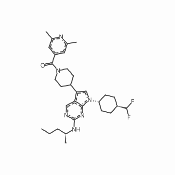 CCC[C@H](C)Nc1ncc2c(C3CCN(C(=O)c4cc(C)nc(C)c4)CC3)cn([C@H]3CC[C@H](C(F)F)CC3)c2n1